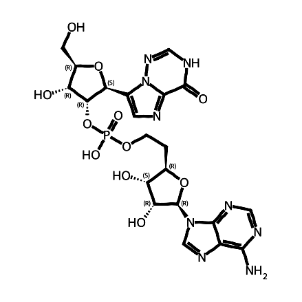 Nc1ncnc2c1ncn2[C@@H]1O[C@H](CCOP(=O)(O)O[C@@H]2[C@H](O)[C@@H](CO)O[C@H]2c2cnc3c(=O)[nH]cnn23)[C@@H](O)[C@H]1O